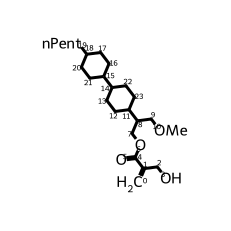 C=C(CO)C(=O)OCC(COC)C1CCC(C2CCC(CCCCC)CC2)CC1